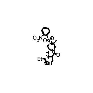 CCC(=O)NC(CC(C)(C)C)C(=O)N1CCN(S(=O)(=O)c2ccccc2[N+](=O)[O-])[C@@H](C)C1